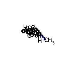 C/C=C/C=C/c1cc2cc3c(c(O)c2c(=O)[nH]1)[C@@]1(CC3)C(=O)c2c(O)c3c(c(O)c2C1=O)C(=O)C(N1CCCCC1)=CC3=O